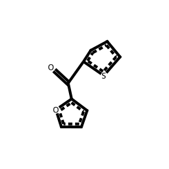 O=C(c1ccco1)c1cccs1